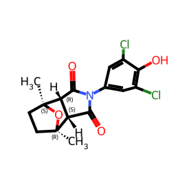 C[C@]12CC[C@](C)(O1)[C@@H]1C(=O)N(c3cc(Cl)c(O)c(Cl)c3)C(=O)[C@@H]12